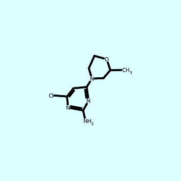 CC1CN(c2cc(Cl)nc(N)n2)CCO1